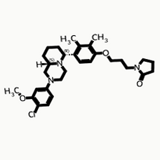 COc1cc(N2CCN3[C@@H](CCC[C@@H]3c3ccc(OCCCN4CCCC4=O)c(C)c3C)C2)ccc1Cl